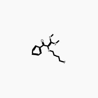 CSC(SC)=C(SCCCCF)C(=O)c1ccccc1